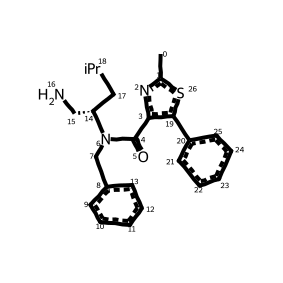 Cc1nc(C(=O)N(Cc2ccccc2)[C@H](CN)CC(C)C)c(-c2ccccc2)s1